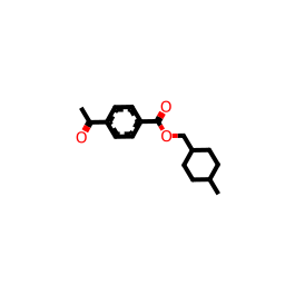 CC(=O)c1ccc(C(=O)OCC2CCC(C)CC2)cc1